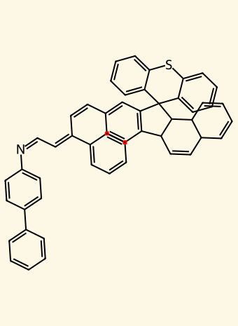 C1=CC2C=CC3c4ccc(\C=C/C(=C\C=N/c5ccc(-c6ccccc6)cc5)c5ccccc5)cc4C4(c5ccccc5Sc5ccccc54)C3C2C=C1